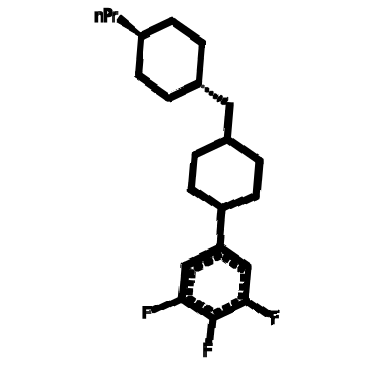 CCC[C@H]1CC[C@H](CC2CCC(c3cc(F)c(F)c(F)c3)CC2)CC1